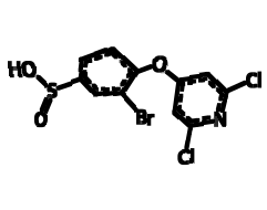 O=S(O)c1ccc(Oc2cc(Cl)nc(Cl)c2)c(Br)c1